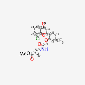 COC(=O)C1CC(NC(=O)COc2cc(C(F)(F)F)ccc2-c2cc(=O)c3cccc(Cl)c3o2)C1